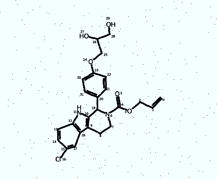 C=CCOC(=O)N1CCc2c([nH]c3ccc(Cl)cc23)C1c1ccc(OCC(O)CO)cc1